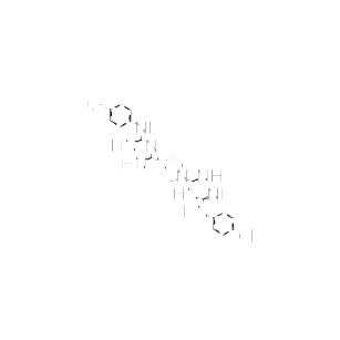 N=C(NC(=N)N1CCN(C(=N)NC(=N)Nc2ccc(Cl)cc2)CC1)Nc1ccc(Cl)cc1